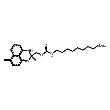 C=c1ccc2c3c(cccc13)NC(C)(COC(=O)NCCCCCCCCCCCCCCCCCC)N=2